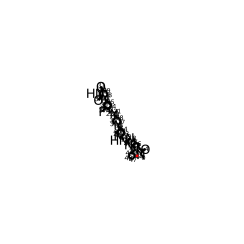 CN(C)C(=O)c1cc2cnc(Nc3ccc(N4CCC(N(C)Cc5ccc(N6CCC(=O)NC6=O)cc5F)CC4)cn3)nc2n1C1CCCC1